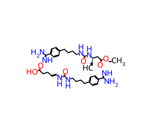 C#C[C@H](CC(=O)OCC)NC(=O)NCCCCc1ccc(C(=N)N)cc1.N=C(N)c1ccc(CCCCNC(=O)NC=CCCC(=O)O)cc1